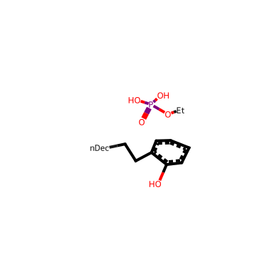 CCCCCCCCCCCCc1ccccc1O.CCOP(=O)(O)O